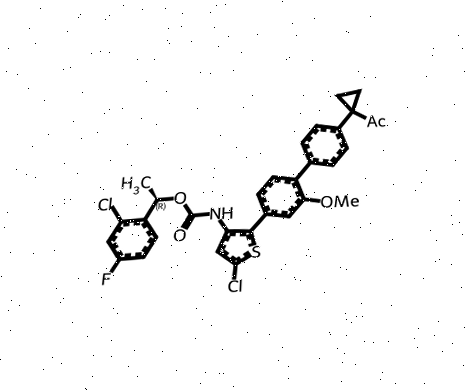 COc1cc(-c2sc(Cl)cc2NC(=O)O[C@H](C)c2ccc(F)cc2Cl)ccc1-c1ccc(C2(C(C)=O)CC2)cc1